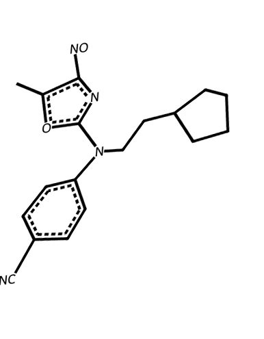 Cc1oc(N(CCC2CCCC2)c2ccc(C#N)cc2)nc1N=O